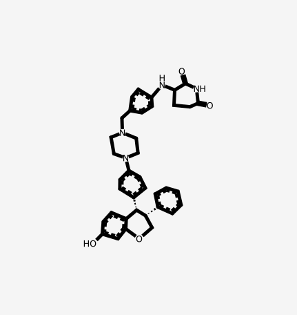 O=C1CCC(Nc2ccc(CN3CCN(c4ccc([C@H]5c6ccc(O)cc6OC[C@H]5c5ccccc5)cc4)CC3)cc2)C(=O)N1